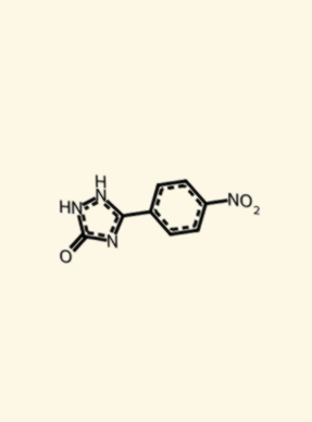 O=c1nc(-c2ccc([N+](=O)[O-])cc2)[nH][nH]1